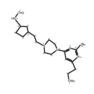 COCCc1cc(N2CCN(CCC3CCC(NC=O)C3)CC2)nc(C(C)(C)C)n1